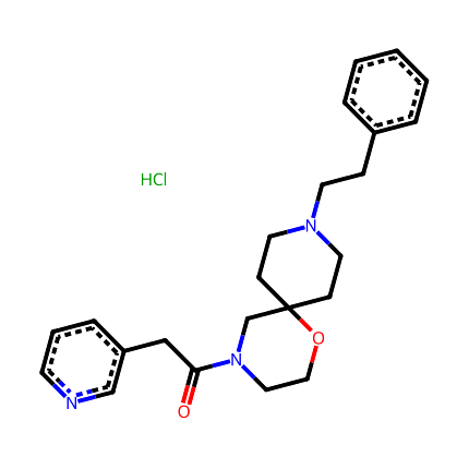 Cl.O=C(Cc1cccnc1)N1CCOC2(CCN(CCc3ccccc3)CC2)C1